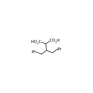 CC(C)CC(CC(C)C)C(C(=O)O)C(=O)O